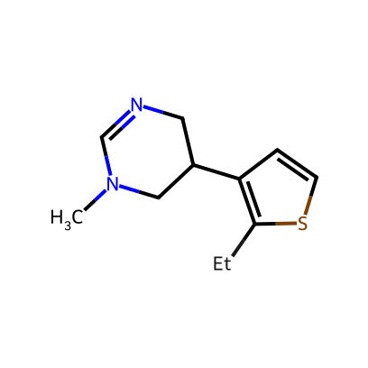 CCc1sccc1C1CN=CN(C)C1